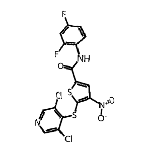 O=C(Nc1ccc(F)cc1F)c1cc([N+](=O)[O-])c(Sc2c(Cl)cncc2Cl)s1